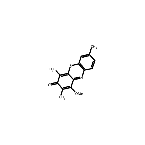 COc1c2nc3ccc(C)cc3sc-2c(C)c(=O)c1C